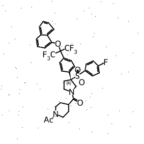 CC(=O)N1CCC(C(=O)N2CC[C@](c3ccc(C(Oc4cccc5ccccc45)(C(F)(F)F)C(F)(F)F)cc3)(S(=O)(=O)c3ccc(F)cc3)C2)CC1